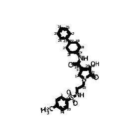 Cc1ccc(S(=O)(=O)NCCN2CC(C(=O)NC3CCC(c4ccccc4)CC3)=C(O)C2=O)cc1